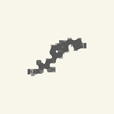 COC(=O)C(O)COc1ccc2nc(CC3CNC3)cn2c1